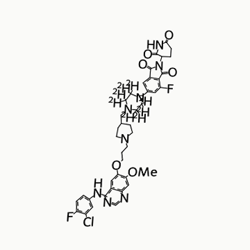 [2H]C1([2H])N(CC2CCN(CCCOc3cc4c(Nc5ccc(F)c(Cl)c5)ncnc4cc3OC)CC2)C([2H])([2H])C([2H])([2H])N(c2cc(F)c3c(c2)C(=O)N(C2CCC(=O)NC2=O)C3=O)C1([2H])[2H]